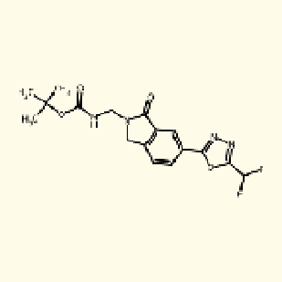 CC(C)(C)OC(=O)NCN1Cc2ccc(-c3nnc(C(F)F)o3)cc2C1=O